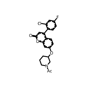 CC(=O)N1CCCC(Oc2ccc3c(-c4ccc(F)cc4Cl)cc(=O)oc3c2)C1